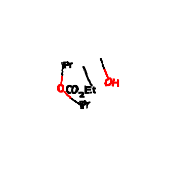 CC(C)OC(C)C.CCOC(C)=O.CO